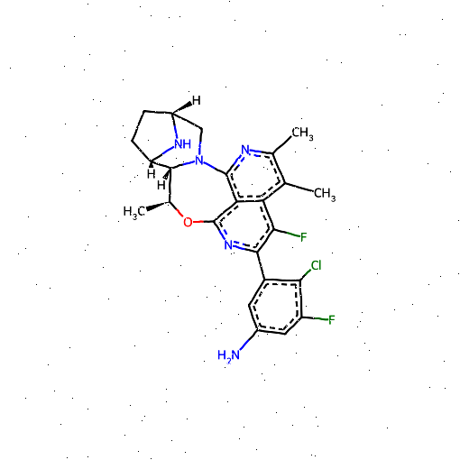 Cc1nc2c3c(nc(-c4cc(N)cc(F)c4Cl)c(F)c3c1C)O[C@@H](C)[C@@H]1[C@@H]3CC[C@H](CN21)N3